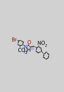 O=C(/C=C/c1ccc(-c2ccccc2)cc1[N+](=O)[O-])Nc1ccc(Br)cc1C(=O)O